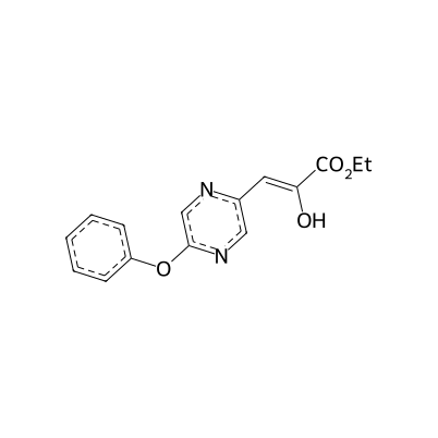 CCOC(=O)C(O)=Cc1cnc(Oc2ccccc2)cn1